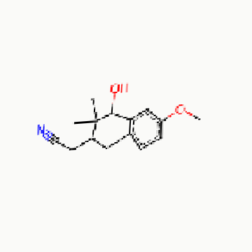 COc1ccc2c(c1)C(O)C(C)(C)C(CC#N)C2